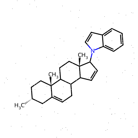 C[C@@H]1CC[C@@]2(C)C(=CCC3C4C=CC(n5ccc6ccccc65)[C@@]4(C)CCC32)C1